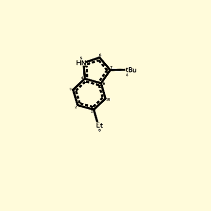 CCc1ccc2[nH]cc(C(C)(C)C)c2c1